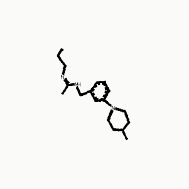 CCC/N=C(/C)NCc1cccc(N2CCC(C)CC2)c1